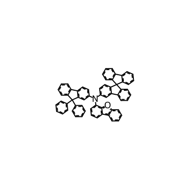 c1ccc(C2(c3ccccc3)c3ccccc3-c3ccc(N(c4ccc5c(c4)-c4ccccc4C54c5ccccc5-c5ccccc54)c4cccc5c4oc4ccccc45)cc32)cc1